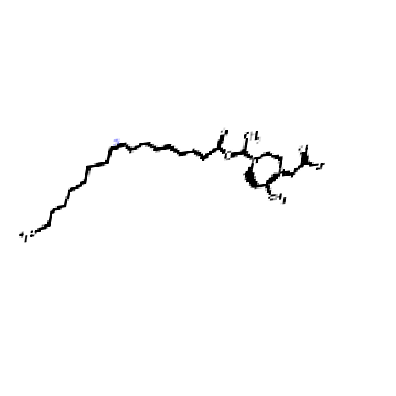 CCCCCCCC/C=C\CCCCCCCC(=O)OC(C)N1C#CC(C)=[N+](CC(=O)[O-])CC1